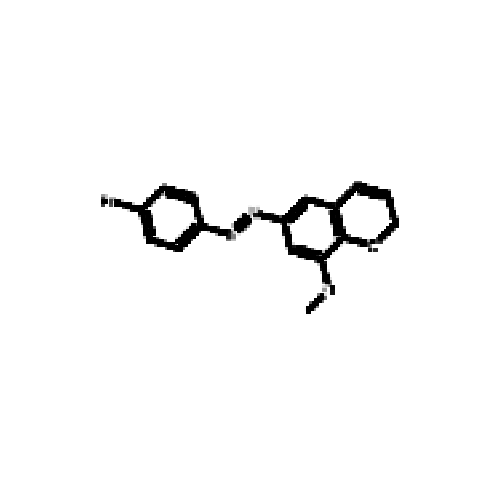 COc1cc(/N=N/c2ccc(Br)cc2)cc2c1OCC=C2